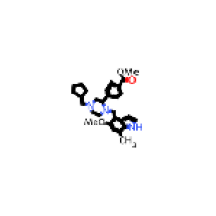 COC(=O)c1ccc(C2CN(CC3CCCC3)CCN2Cc2c(OC)cc(C)c3[nH]ccc23)cc1